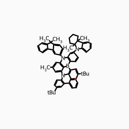 Cc1cc2c3c(c1)N(c1ccc(C(C)(C)C)cc1-c1ccccc1)c1ccc(C(C)(C)C)cc1B3c1ccc(N3c4ccccc4C4(C)CCCCC34C)cc1N2c1ccc2c(c1)-c1ccccc1C2(C)C